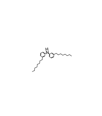 CCCCCCCCc1cccc(Nc2cccc(CCCCCCCC)c2)c1